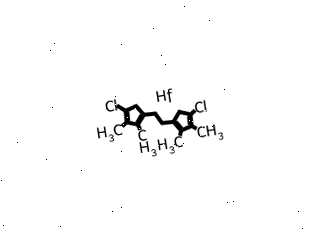 CC1=C(Cl)CC(CCC2=C(C)C(C)=C(Cl)C2)=C1C.[Hf]